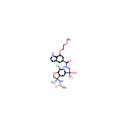 CC(C)(C)OCCOc1cc(C(=O)NCC(O)(c2cc3c(c(Cl)n2)OC[C@@]3(C)N[S+]([O-])C(C)(C)C)C(F)(F)F)cc2cc[nH]c12